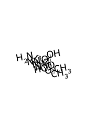 CC(C)C(=O)O[C@H]1[C@@H](O)[C@](C#N)(c2ccc3c(N)ncnn23)O[C@@H]1CO